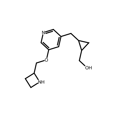 OCC1CC1Cc1cncc(OCC2CCN2)c1